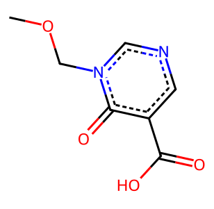 COCn1cncc(C(=O)O)c1=O